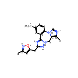 COc1ccc2c(c1)-c1nc(Cc3cc(C)no3)nn1Cc1c(C)ncn1-2